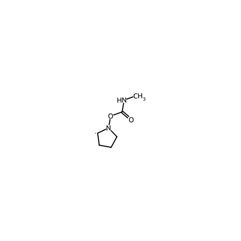 CNC(=O)ON1[CH]CCC1